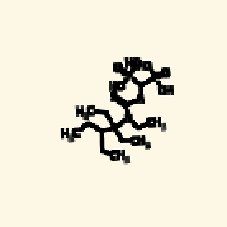 CCC(CC)C(CC)(CC)N(CC)C(=S)SC(P(=O)(O)O)P(=O)(O)O